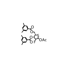 CC(=O)OC1S[C@H](COC(=O)c2cc(C)cc(C)c2)[C@@H](OC(=O)c2cc(C)cc(C)c2)[C@@H]1F